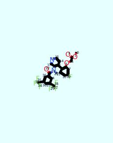 COC(=O)COc1cc(F)ccc1-c1ccncc1N(C)C(=O)c1cc(C(F)(F)F)cc(C(F)(F)F)c1